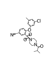 Cc1cc(Cl)cc(Oc2ccc(C#N)cc2S(=O)(=O)N2CCN(C(=O)C(C)C)CC2)c1